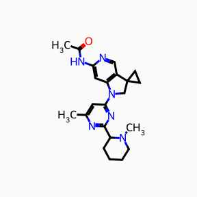 CC(=O)Nc1cc2c(cn1)C1(CC1)CN2c1cc(C)nc(C2CCCCN2C)n1